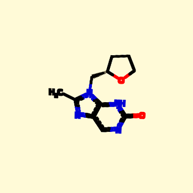 Cc1nc2cnc(=O)[nH]c2n1C[C@@H]1CCCO1